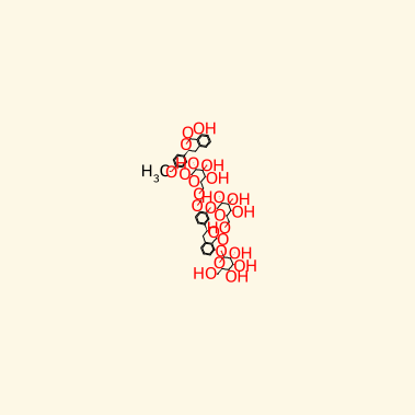 COc1ccc([C@@H]2Cc3cccc(O)c3C(=O)O2)cc1O[C@@H]1OC(COCOc2ccc([C@@H]3Cc4cccc(O[C@@H]5O[C@H](CO)[C@@H](O)[C@H](O)[C@H]5O)c4C(=O)O3)cc2O[C@@H]2O[C@H](CO)[C@@H](O)[C@H](O)[C@H]2O)[C@@H](O)[C@H](O)[C@H]1O